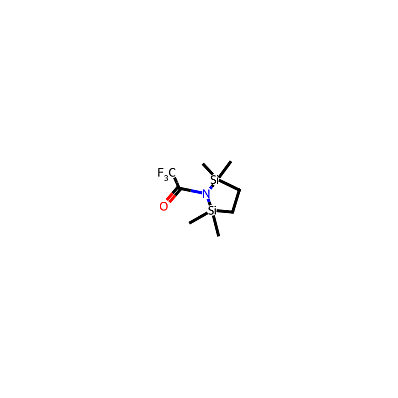 C[Si]1(C)CC[Si](C)(C)N1C(=O)C(F)(F)F